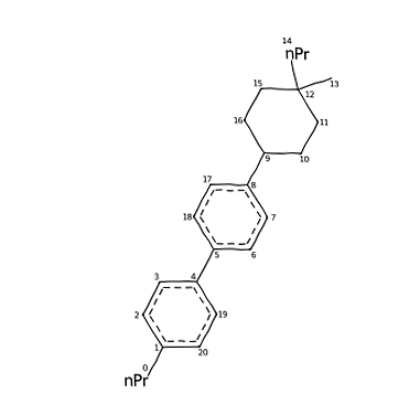 CCCc1ccc(-c2ccc(C3CCC(C)(CCC)CC3)cc2)cc1